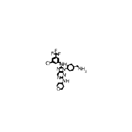 NC[C@H]1CC[C@@H](n2c(Nc3cc(Cl)cc(C(F)(F)F)c3)nc3cnc(NC4CCOCC4)nc32)CC1